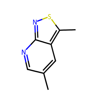 Cc1cnc2nsc(C)c2c1